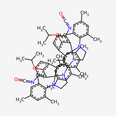 Cc1cc(C)c(N2CCN(c3c(C)cc(C)cc3C)C23[C](=[Ru]=[C]2c4ccc(N=C=O)c(c4OC(C)C)C24N(c2c(C)cc(C)cc2C)CCN4c2c(C)cc(C)cc2C)c2ccc(N=C=O)c3c2OC(C)C)c(C)c1